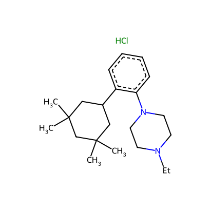 CCN1CCN(c2ccccc2C2CC(C)(C)CC(C)(C)C2)CC1.Cl